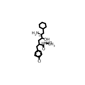 CNC(=O)C(Cc1ccc(Cl)cc1)CC(O)[C@@H](N)CC1CCCCC1.Cl